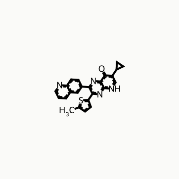 Cc1ccc(-c2nc3[nH]cc(C4CC4)c(=O)c3nc2-c2ccc3ncccc3c2)s1